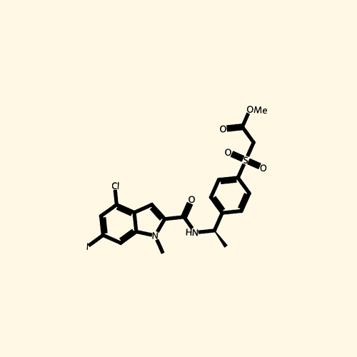 COC(=O)CS(=O)(=O)c1ccc([C@@H](C)NC(=O)c2cc3c(Cl)cc(I)cc3n2C)cc1